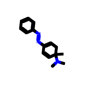 CN(C)C1(C)C=CC(N=Nc2ccccc2)=CC1